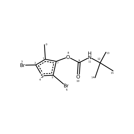 Cc1c(Br)sc(Br)c1OC(=O)NC(C)(C)C